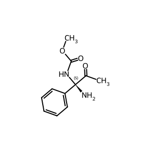 COC(=O)N[C@](N)(C(C)=O)c1ccccc1